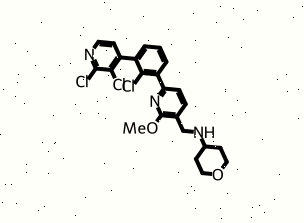 COc1nc(-c2cccc(-c3ccnc(Cl)c3Cl)c2Cl)ccc1CNC1CCOCC1